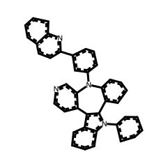 c1ccc(-n2c3c(c4ccccc42)-c2ccncc2N(c2cccc(-c4ccc5ccccc5n4)c2)c2ccccc2-3)cc1